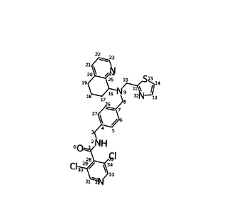 O=C(NCc1ccc(CN(Cc2nccs2)C2CCCc3cccnc32)cc1)c1c(Cl)cncc1Cl